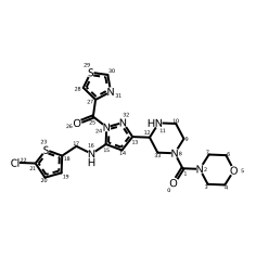 O=C(N1CCOCC1)N1CCNC(c2cc(NCc3ccc(Cl)s3)n(C(=O)c3cscn3)n2)C1